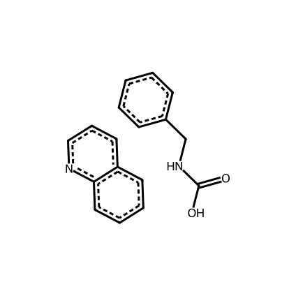 O=C(O)NCc1ccccc1.c1ccc2ncccc2c1